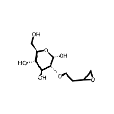 OC[C@H]1O[C@H](O)[C@H](OCCC2CO2)[C@@H](O)[C@@H]1O